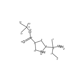 CCC(C)(N)C1CC(C(=O)OC(C)(C)C)CN1